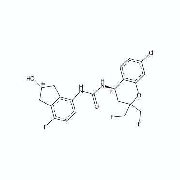 O=C(Nc1ccc(F)c2c1C[C@@H](O)C2)N[C@@H]1CC(CF)(CF)Oc2cc(Cl)ccc21